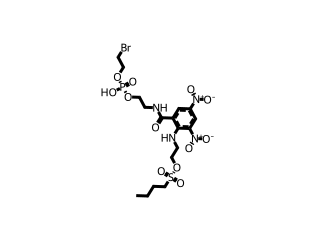 CCCCS(=O)(=O)OCCNc1c(C(=O)NCCOP(=O)(O)OCCBr)cc([N+](=O)[O-])cc1[N+](=O)[O-]